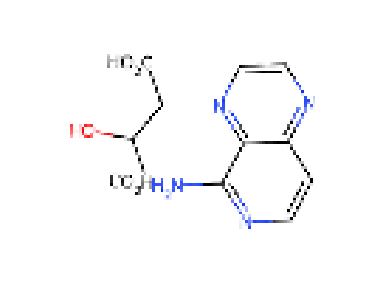 Nc1nccc2nccnc12.O=C(O)CC(O)C(=O)O